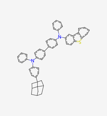 c1ccc(N(c2ccc(-c3ccc(N(c4ccccc4)c4ccc5sc6ccccc6c5c4)cc3)cc2)c2ccc(C34CC5CC6CC(C3)C54C6)cc2)cc1